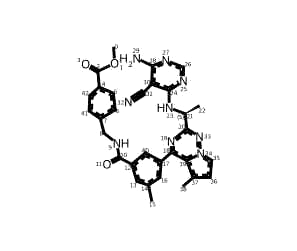 COC(=O)c1ccc(CNC(=O)c2cc(C)cc(-c3nc([C@H](C)Nc4ncnc(N)c4C#N)nn4ccc(C)c34)c2)cc1